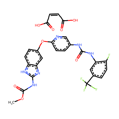 COC(=O)Nc1nc2cc(Oc3ccc(NC(=O)Nc4cc(C(F)(F)F)ccc4F)cn3)ccc2[nH]1.O=C(O)/C=C\C(=O)O